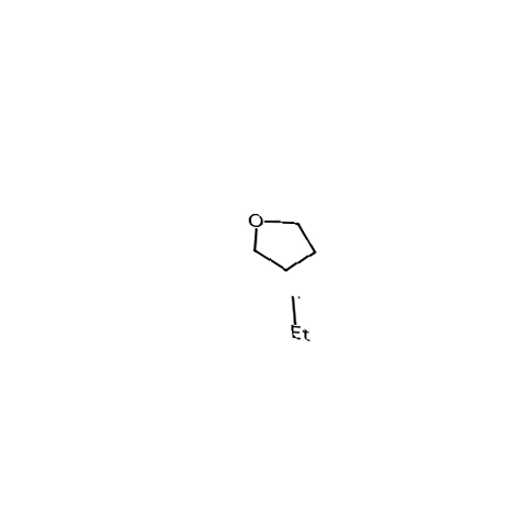 C1CCOC1.[CH2]CC